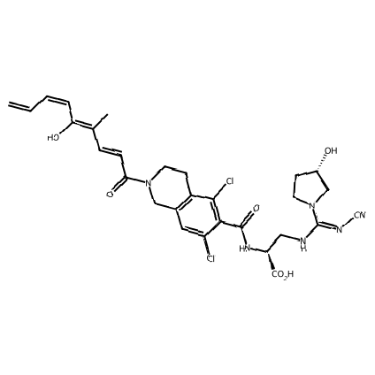 C=C\C=C/C(O)=C(C)/C=C/C(=O)N1CCc2c(cc(Cl)c(C(=O)N[C@@H](CNC(=NC#N)N3CC[C@H](O)C3)C(=O)O)c2Cl)C1